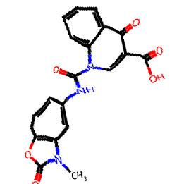 Cn1c(=O)oc2ccc(NC(=O)n3cc(C(=O)O)c(=O)c4ccccc43)cc21